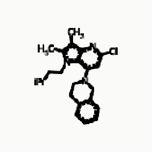 Cc1c(C)n(CCC(C)C)c2c(N3CCc4ccccc4C3)cc(Cl)nc12